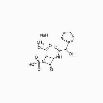 COC(=O)C1C(NC(=O)C(O)c2ccccc2)C(=O)N1S(=O)(=O)O.[NaH]